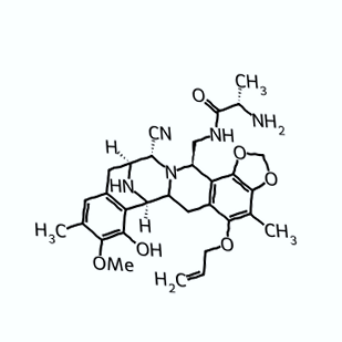 C=CCOc1c(C)c2c(c3c1CC1[C@@H]4N[C@@H](Cc5cc(C)c(OC)c(O)c54)[C@H](C#N)N1[C@H]3CNC(=O)[C@H](C)N)OCO2